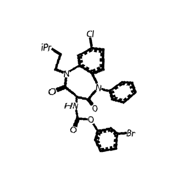 CC(C)CCN1C(=O)C(NC(=O)Oc2cccc(Br)c2)C(=O)N(c2ccccc2)c2ccc(Cl)cc21